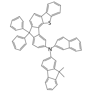 CC1(C)c2ccccc2-c2ccc(N(c3ccc4c(c3)-c3c(ccc5c3sc3ccccc35)C4(c3ccccc3)c3ccccc3)c3ccc4ccccc4c3)cc21